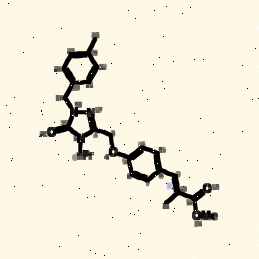 CCCn1c(COc2ccc(/C=C(\C)C(=O)OC)cc2)nn(Cc2ccc(C)cc2)c1=O